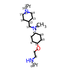 CC(C)NCCO[C@H]1CC[C@H](N(C)CC2CCN(C(C)C)CC2)CC1